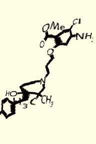 COC(=O)c1cc(Cl)c(N)cc1OCCCN1CCC(O)(Cc2ccc(F)cc2)C(C)(C)C1